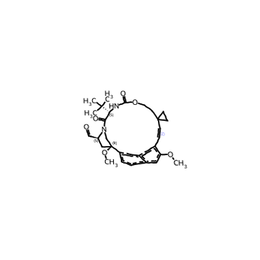 COc1cc2ccc3cc2cc1/C=C\C1(CCOC(=O)N[C@@H](C(C)(C)C)C(=O)N2C[C@@]3(OC)C[C@H]2C=O)CC1